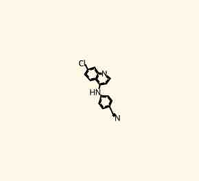 N#Cc1ccc(Nc2ccnc3cc(Cl)ccc23)cc1